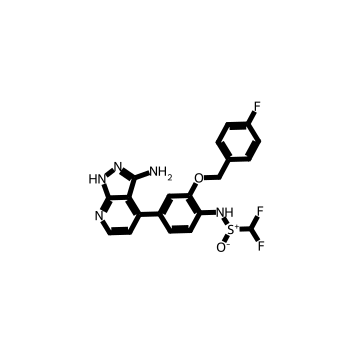 Nc1n[nH]c2nccc(-c3ccc(N[S+]([O-])C(F)F)c(OCc4ccc(F)cc4)c3)c12